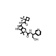 CC1(C)c2[nH]nc(NC(=O)C3([Si](C)(C)C)CCC3)c2CN1C(=O)NC(CO)c1cccnc1